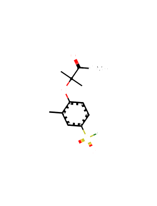 COC(=O)C(C)(C)Oc1ccc(S(=O)(=O)Cl)cc1C